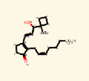 CCCCC1(C(O)/C=C/C2=C(C/C=C\CCCC(=O)O)C(=O)CC2)CCC1